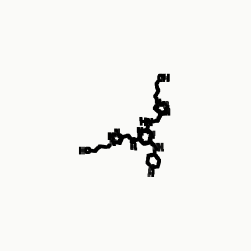 OCCCn1cc(CNc2cc(NC3CCNCC3)nc(NCc3cn(CCCO)nn3)n2)nn1